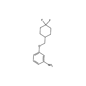 Nc1cccc(OCC2CCC(F)(F)CC2)c1